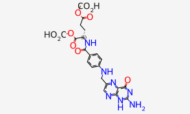 Nc1nc(=O)c2nc(CNc3ccc(C(=O)N[C@@H](CCC(=O)OC(=O)O)C(=O)OC(=O)O)cc3)cnc2[nH]1